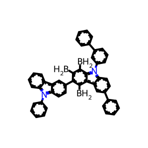 Bc1c(-c2ccc3c(c2)c2ccccc2n3-c2ccccc2)c(B)c2c3cc(-c4ccccc4)ccc3n(-c3cccc(-c4ccccc4)c3)c2c1B